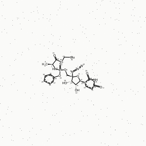 C[C@H](NP(=S)(OC[C@@]1(N=[N+]=[N-])O[C@@H](n2ccc(=O)[nH]c2=O)[C@H](O)[C@@H]1O)Oc1ccccc1)C(=O)OCC(C)(C)C